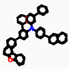 C1=CCCC(c2cc(-c3ccc4ccc5oc6ccccc6c5c4c3)ccc2N(c2ccc(-c3ccc4ccccc4c3)cc2)c2cccc(-c3ccccc3)c2)=C1